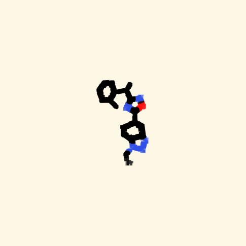 Cc1ccccc1C(C)c1noc(-c2ccc3c(c2)nnn3CC(C)C)n1